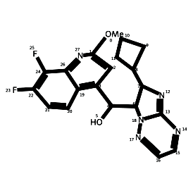 COc1cc(C(O)C2C(C3CCC3)N=C3N=CC=NN32)c2ccc(F)c(F)c2n1